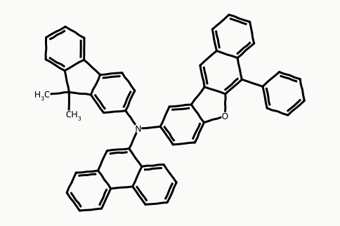 CC1(C)c2ccccc2-c2ccc(N(c3ccc4oc5c(-c6ccccc6)c6ccccc6cc5c4c3)c3cc4ccccc4c4ccccc34)cc21